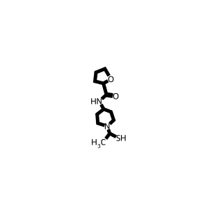 CC(S)N1CCC(NC(=O)C2CCCO2)CC1